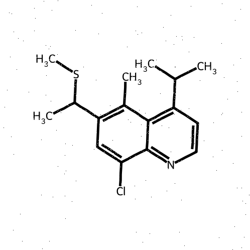 CSC(C)c1cc(Cl)c2nccc(C(C)C)c2c1C